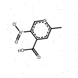 Cc1cc(C(=O)O)c([N+](=O)[O-])cn1